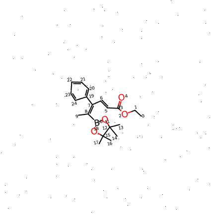 CCOC(=O)/C=C/C(=C(/C)B1OC(C)(C)C(C)(C)O1)c1ccccc1